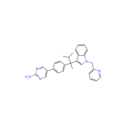 CC(C)C(C)(c1ccc(-c2cnc(N)nc2)cc1)c1cn(Cc2ccccn2)c2ccccc12